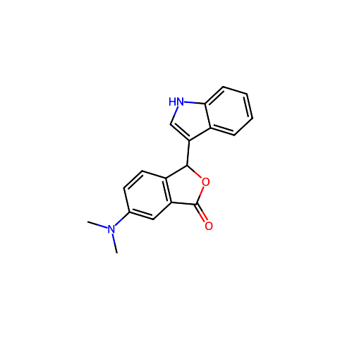 CN(C)c1ccc2c(c1)C(=O)OC2c1c[nH]c2ccccc12